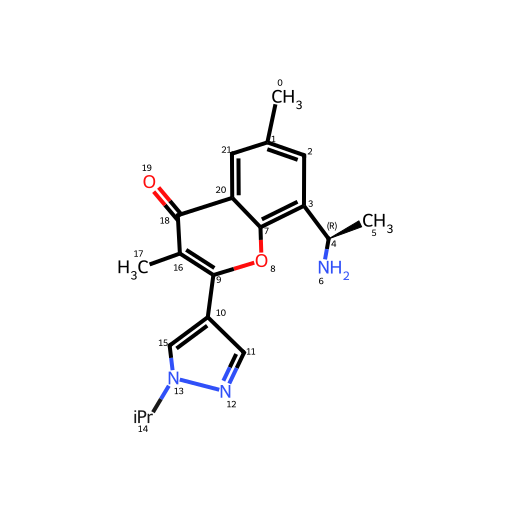 Cc1cc([C@@H](C)N)c2oc(-c3cnn(C(C)C)c3)c(C)c(=O)c2c1